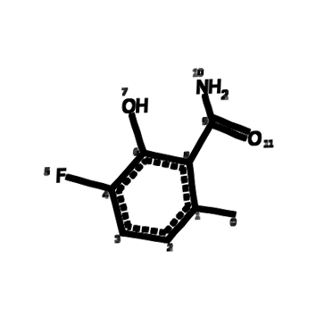 Cc1ccc(F)c(O)c1C(N)=O